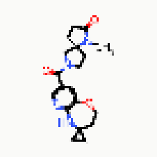 CN1C(=O)CC[C@@]12CCN(C(=O)c1cnc3c(c1)OCCC1(CC1)N3)C2